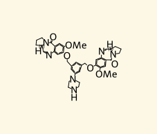 COc1cc2c(cc1OCc1cc(COc3cc4c(cc3OC)C(=O)N3CCC[C@H]3C=N4)cc(N3CCNCC3)c1)N=C[C@@H]1CCCN1C2=O